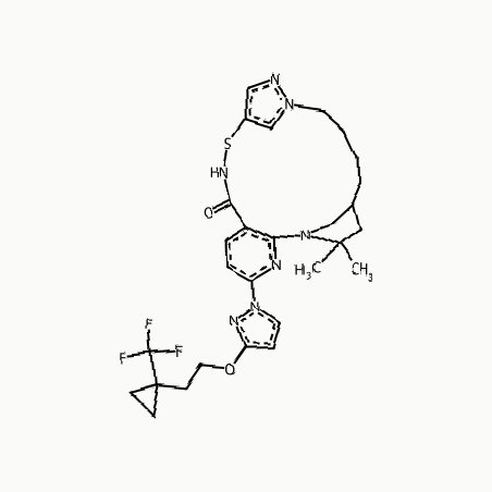 CC1(C)CC2CCCCn3cc(cn3)SNC(=O)c3ccc(-n4ccc(OCCC5(C(F)(F)F)CC5)n4)nc3N1C2